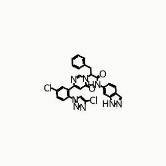 O=C(Nc1ccc2cn[nH]c2c1)C(Cc1ccccc1)n1cnc(-c2cc(Cl)ccc2-n2cc(Cl)nn2)cc1=O